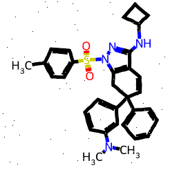 Cc1ccc(S(=O)(=O)n2nc(NC3CCC3)c3c2CC(c2ccccc2)(c2cccc(N(C)C)c2)C=C3)cc1